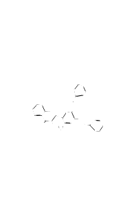 COc1c(-c2ccc(OCc3ccccc3)c(OCc3ccccc3)c2)oc2ccccc2c1=O